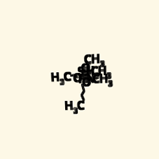 CCCCCOC([SiH3])(OCC)C(C)(NC)OCC